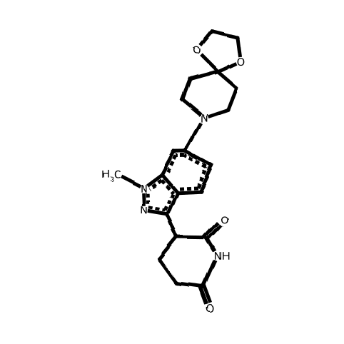 Cn1nc(C2CCC(=O)NC2=O)c2ccc(N3CCC4(CC3)OCCO4)cc21